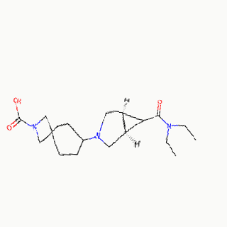 CCN(CC)C(=O)C1[C@H]2CN(C3CCC4(C3)CN(C(=O)O)C4)C[C@@H]12